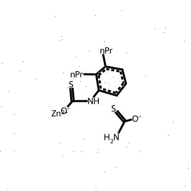 CCCc1cccc(NC([O-])=S)c1CCC.NC([O-])=S.[Zn+2]